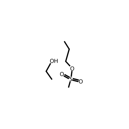 CCCOS(C)(=O)=O.CCO